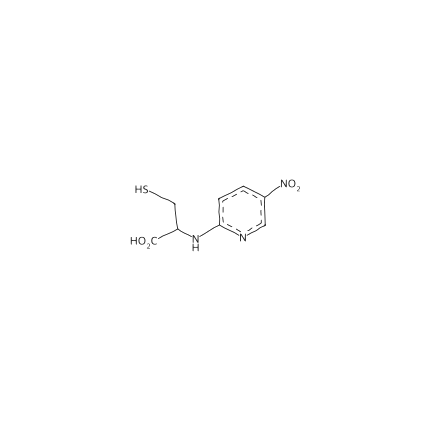 O=C(O)C(CS)Nc1ccc([N+](=O)[O-])cn1